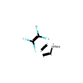 C=C.C=CCCCCCC.FC(F)=C(F)F